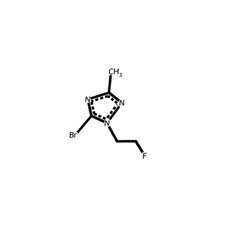 Cc1nc(Br)n(CCF)n1